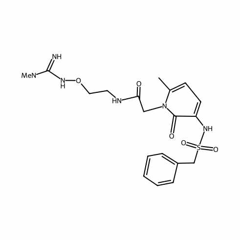 CNC(=N)NOCCNC(=O)Cn1c(C)ccc(NS(=O)(=O)Cc2ccccc2)c1=O